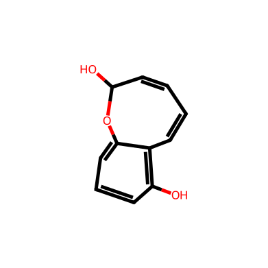 Oc1cccc2c1C=CC=CC(O)O2